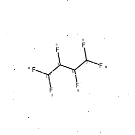 F[C](F)C(F)C(F)C(F)F